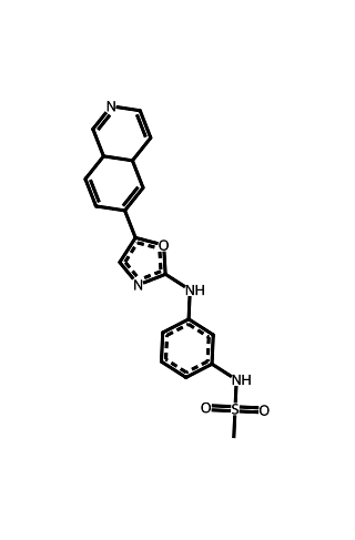 CS(=O)(=O)Nc1cccc(Nc2ncc(C3=CC4C=CN=CC4C=C3)o2)c1